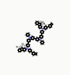 CC1(C)c2ccccc2-c2ccc(N(c3ccc(-c4ccc5c(c4)CC5)cc3)c3ccc(-c4ccc5c(c4)c4cc(-c6ccc7c(c6)c6cc(-c8ccc(N(c9ccc(-c%10ccc%11c(c%10)CC%11)cc9)c9ccc%10c(c9)C(C)(C)c9ccccc9-%10)cc8)ccc6n7-c6ccccc6)ccc4n5-c4ccccc4)cc3)cc21